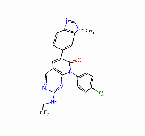 Cn1cnc2ccc(-c3cc4cnc(NCC(F)(F)F)nc4n(-c4ccc(Cl)cc4)c3=O)cc21